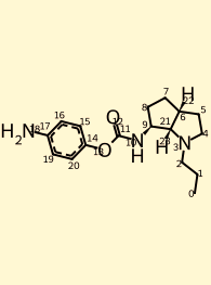 CCCN1CC[C@H]2CC[C@H](NC(=O)Oc3ccc(N)cc3)[C@H]21